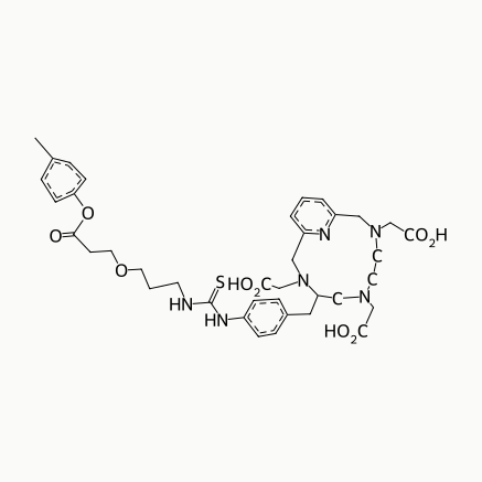 Cc1ccc(OC(=O)CCOCCCNC(=S)Nc2ccc(CC3CN(CC(=O)O)CCN(CC(=O)O)Cc4cccc(n4)CN3CC(=O)O)cc2)cc1